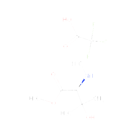 CN[C@H](C(=O)OC)C(C)(C)O.O=C(O)C(F)(F)F